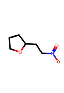 O=[N+]([O-])CCC1CCCO1